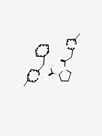 Cc1cnc(CC(=O)N2CCC[C@H]2C(=O)N[C@@H](c2ccccc2)c2ccc(C(C)C)cn2)o1